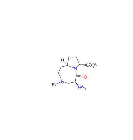 CCN1CC[C@H]2CC[C@@H](C(=O)O)N2C(=O)[C@@H](N)C1